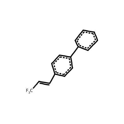 FC(F)(F)C=Cc1ccc(-c2ccccc2)cc1